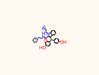 CN(C)CCn1c(C(=O)NCCN2CCCC2)c(C(c2ccc(O)cc2)c2ccc(O)cc2)c2ccccc21